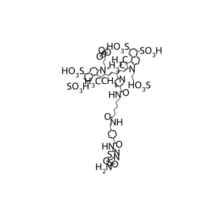 CC1(C)C(/C=C/C(=C/C=C2/N(CCCS(=O)(=O)O)c3ccc4c(S(=O)(=O)O)cc(S(=O)(=O)O)cc4c3C2(C)C)c2ccc(C(=O)NCCCCCC(=O)NCc3ccc(C(=O)Nc4nnc(S(N)(=O)=O)s4)cc3)cn2)=[N+](CCCS(=O)(=O)[O-])c2ccc3c(S(=O)(=O)O)cc(S(=O)(=O)O)cc3c21